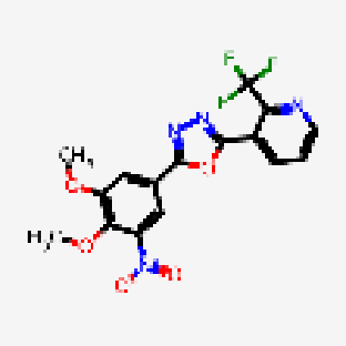 COc1cc(-c2nnc(-c3cccnc3C(F)(F)F)o2)cc([N+](=O)[O-])c1OC